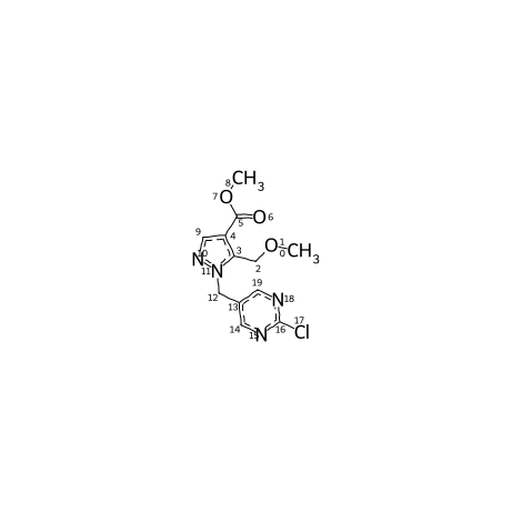 COCc1c(C(=O)OC)cnn1Cc1cnc(Cl)nc1